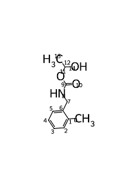 Cc1ccccc1CNC(=O)OC(C)O